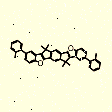 Cc1ccccc1-c1ccc2oc3c(c2c1)C(C)(C)c1cc2c(cc1-3)C(C)(C)c1c-2oc2ccc(-c3ccccc3C)cc12